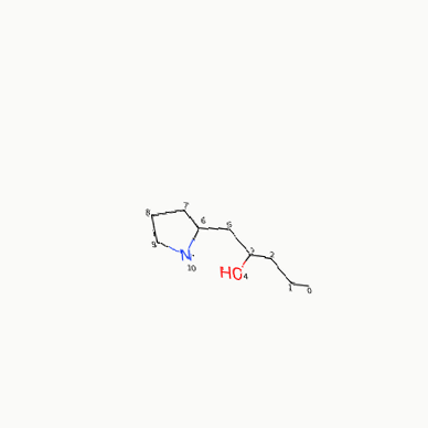 CCCC(O)CC1CCC[N]1